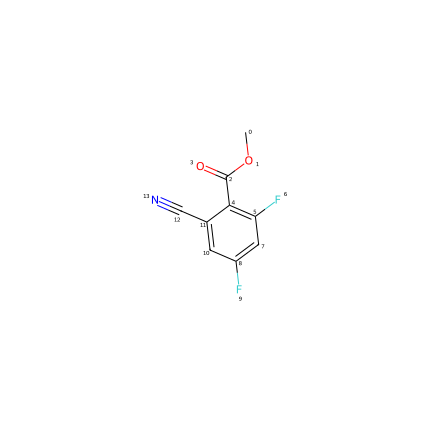 COC(=O)c1c(F)cc(F)cc1C#N